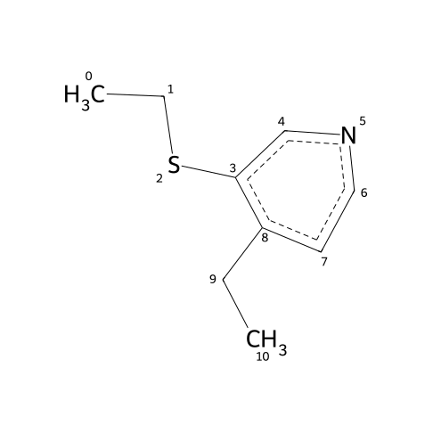 CCSc1cnccc1CC